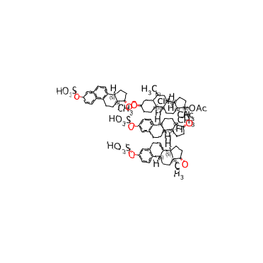 CC(=O)O[C@]1(C(C)=O)CC[C@H]2[C@@H]3C[C@H](C)C4=CC(=O)CC[C@]4(C)[C@H]3CC[C@@]21C.C[C@]12CC[C@@H]3c4ccc(OS(=O)(=O)O)cc4CC[C@H]3[C@@H]1CCC2=O.C[C@]12CC[C@H]3C(=CCc4cc(OS(=O)(=O)O)ccc43)[C@@H]1CCC2=O.C[C@]12CCc3c(ccc4cc(OS(=O)(=O)O)ccc34)[C@@H]1CCC2=O